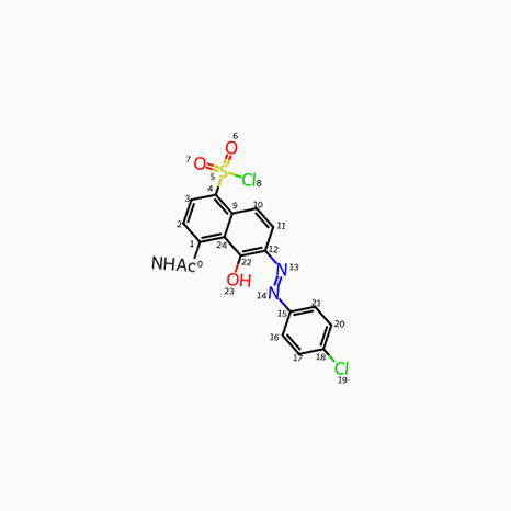 CC(=O)Nc1ccc(S(=O)(=O)Cl)c2ccc(N=Nc3ccc(Cl)cc3)c(O)c12